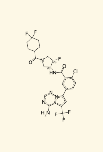 Nc1ncnn2c(-c3ccc(Cl)c(C(=O)N[C@@H]4CN(C(=O)C5CCC(F)(F)CC5)C[C@@H]4F)c3)cc(C(F)(F)F)c12